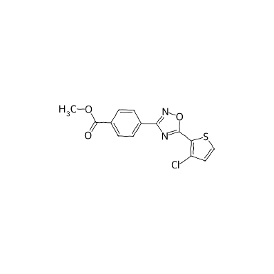 COC(=O)c1ccc(-c2noc(-c3sccc3Cl)n2)cc1